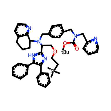 CC(C)(C)OC(=O)N(Cc1ccc(CN(C(COCC[Si](C)(C)C)c2nc(-c3ccccc3)c(-c3ccccc3)[nH]2)C2CCCc3cccnc32)cc1)Cc1ccccn1